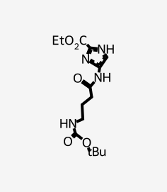 CCOC(=O)c1nc(NC(=O)CCCNC(=O)OC(C)(C)C)c[nH]1